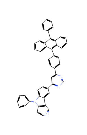 c1ccc(-c2c3ccccc3c(-c3ccc(-c4cc(-c5ccc6c(c5)c5cnccc5n6-c5ccccc5)ncn4)cc3)c3ccccc23)cc1